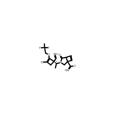 CC(N1CC2(C(=N)Cl)C=CC2C1=O)[C@@]1(C=N)CC(Cl)=C1OCC(C)(F)F